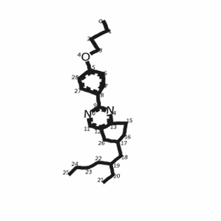 CCCCOc1ccc(-c2ncc3c(n2)CCC(CC(CC)CCCC)C3)cc1